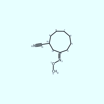 CON=C1CCCCCCC(C#N)C1